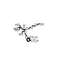 O=C(O)c1ccccc1C(=O)O.OCCOCCOCCOCC(O)(CCC(CO)(CO)CO)C(CO)OCCO